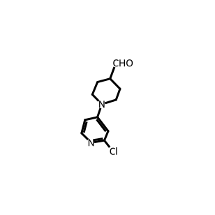 O=CC1CCN(c2ccnc(Cl)c2)CC1